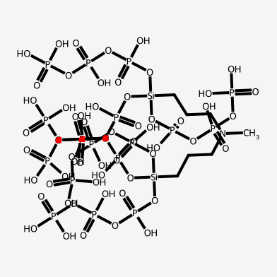 CN(CCC[Si](OP(=O)(O)OP(=O)(O)OP(=O)(O)O)(OP(=O)(O)OP(=O)(O)OP(=O)(O)O)OP(=O)(O)OP(=O)(O)OP(=O)(O)O)CCC[Si](OP(=O)(O)OP(=O)(O)OP(=O)(O)O)(OP(=O)(O)OP(=O)(O)OP(=O)(O)O)OP(=O)(O)OP(=O)(O)OP(=O)(O)O